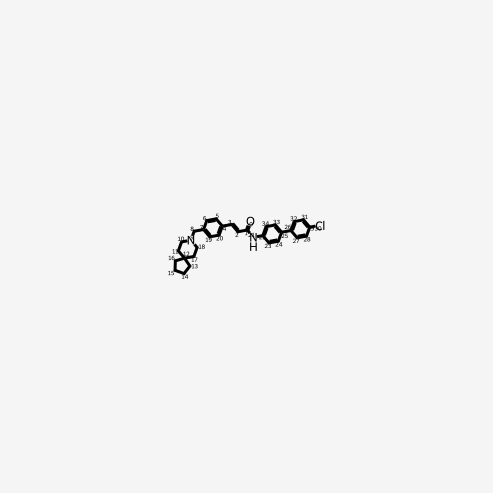 O=C(C=Cc1ccc(CN2CCC3(CCCC3)CC2)cc1)Nc1ccc(-c2ccc(Cl)cc2)cc1